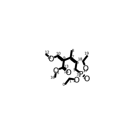 CCOP(=O)(CC=C(C)C(=COC)C(=O)OC)OCC